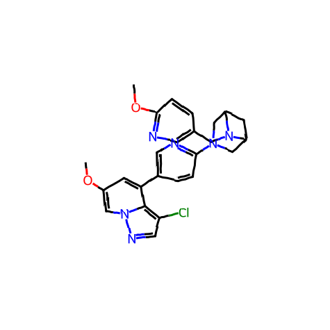 COc1cc(-c2ccc(N3CC4CC(C3)N4Cc3ccc(OC)nc3)nc2)c2c(Cl)cnn2c1